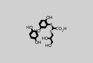 O=C(O)C(SCC(O)CO)Sc1cc(O)ccc1O.Oc1ccc(O)cc1